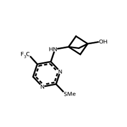 CSc1ncc(C(F)(F)F)c(NC23CC(O)(C2)C3)n1